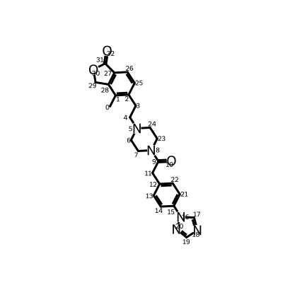 Cc1c(CCN2CCN(C(=O)Cc3ccc(-n4cncn4)cc3)CC2)ccc2c1COC2=O